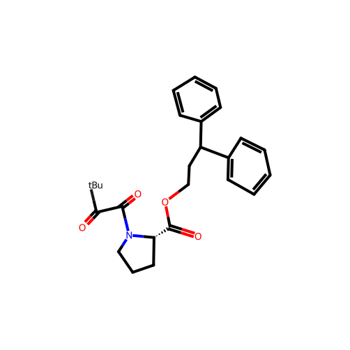 CC(C)(C)C(=O)C(=O)N1CCC[C@H]1C(=O)OCCC(c1ccccc1)c1ccccc1